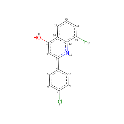 Oc1cc(-c2ccc(Cl)cc2)nc2c(F)cccc12